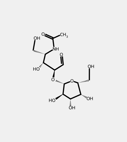 CC(=O)N[C@@H](CO)[C@@H](O)[C@@H](C=O)O[C@@H]1O[C@H](CO)[C@H](O)[C@H](O)[C@H]1O